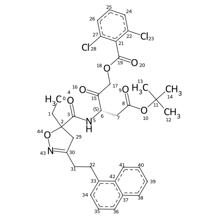 CCC1(C(=O)N[C@@H](CC(=O)OC(C)(C)C)C(=O)COC(=O)c2c(Cl)cccc2Cl)CC(CCc2cccc3ccccc23)=NO1